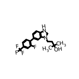 CC(C)(O)CCN1CNc2ccc(-c3ccc(C(F)(F)F)cc3F)cc21